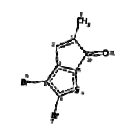 CC1=Cc2c(sc(Br)c2Br)C1=O